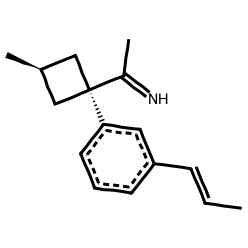 C/C=C/c1cccc([C@]2(C(C)=N)C[C@@H](C)C2)c1